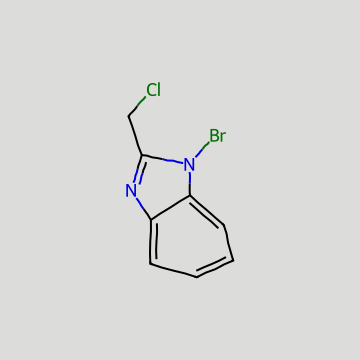 ClCc1nc2ccccc2n1Br